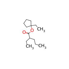 CCCC(CC)C(=O)OC1(CC)CCCC1